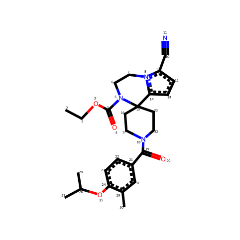 CCOC(=O)N1CCn2c(C#N)ccc2C12CCN(C(=O)c1ccc(OC(C)C)c(C)c1)CC2